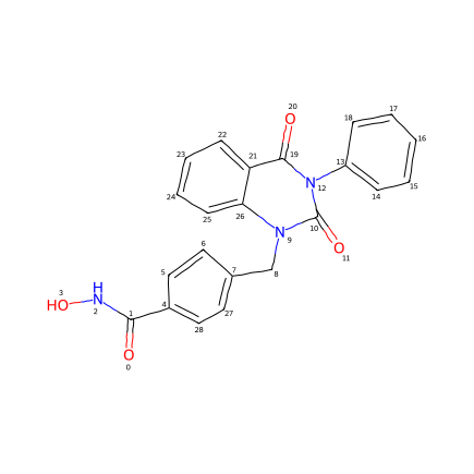 O=C(NO)c1ccc(Cn2c(=O)n(-c3ccccc3)c(=O)c3ccccc32)cc1